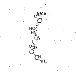 CNS(=O)(=O)c1cccc(OCC(O)CN[C@H]2COC3(CCN(S(=O)(=O)c4cccc(-c5ccc(N)nc5)c4)CC3)C2)c1